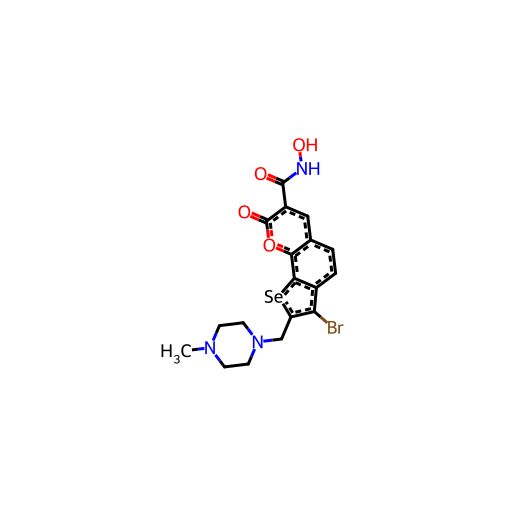 CN1CCN(Cc2[se]c3c(ccc4cc(C(=O)NO)c(=O)oc43)c2Br)CC1